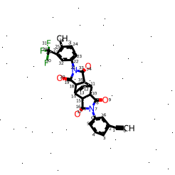 C#Cc1cccc(N2C(=O)C3C4C=CC(C3C2=O)C2C(=O)N(c3ccc(C)c(C(F)(F)F)c3)C(=O)C42)c1